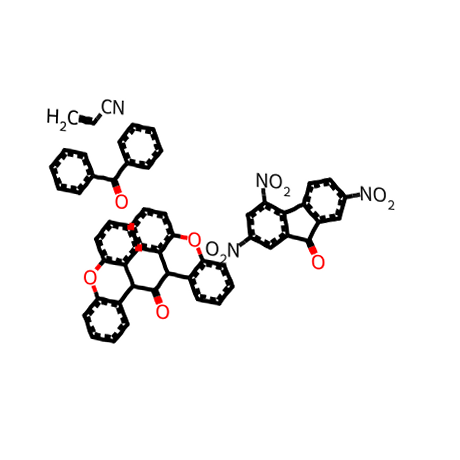 C=CC#N.O=C(C1c2ccccc2Oc2ccccc21)C1c2ccccc2Oc2ccccc21.O=C(c1ccccc1)c1ccccc1.O=C1c2cc([N+](=O)[O-])ccc2-c2c1cc([N+](=O)[O-])cc2[N+](=O)[O-]